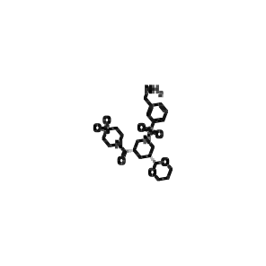 NCc1cccc(S(=O)(=O)N2C[C@@H](C(=O)N3CCS(=O)(=O)CC3)C[C@@H](C3OCCCO3)C2)c1